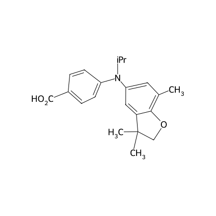 Cc1cc(N(c2ccc(C(=O)O)cc2)C(C)C)cc2c1OCC2(C)C